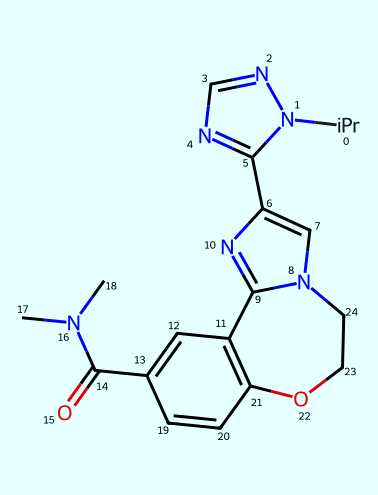 CC(C)n1ncnc1-c1cn2c(n1)-c1cc(C(=O)N(C)C)ccc1OCC2